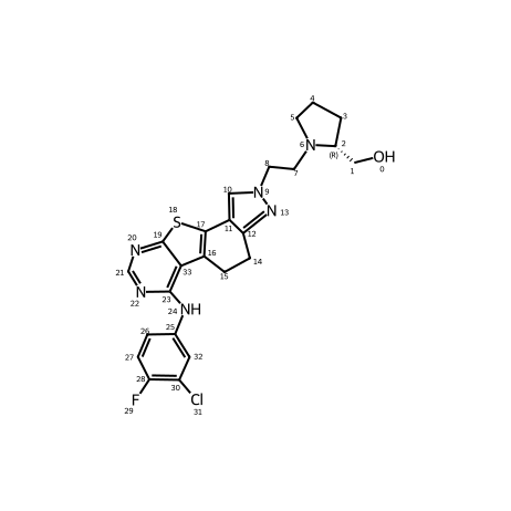 OC[C@H]1CCCN1CCn1cc2c(n1)CCc1c-2sc2ncnc(Nc3ccc(F)c(Cl)c3)c12